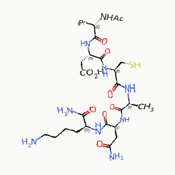 CC(=O)N[C@H](C(=O)N[C@@H](CC(=O)O)C(=O)N[C@@H](CS)C(=O)N[C@@H](C)C(=O)N[C@@H](CC(N)=O)C(=O)N[C@@H](CCCCN)C(N)=O)C(C)C